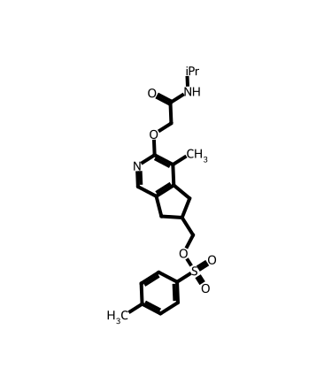 Cc1ccc(S(=O)(=O)OCC2Cc3cnc(OCC(=O)NC(C)C)c(C)c3C2)cc1